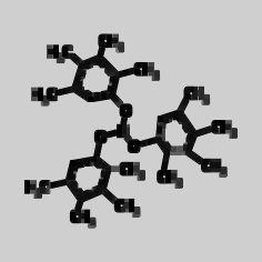 Cc1cc([O][Bi]([O]c2cc(C)c(C)c(C)c2C)[O]c2cc(C)c(C)c(C)c2C)c(C)c(C)c1C